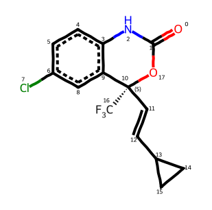 O=C1Nc2ccc(Cl)cc2[C@@](C=CC2CC2)(C(F)(F)F)O1